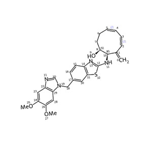 C=C1/C=C\C=C/CC[C@H](O)[C@@H]1Nc1nc2ccc(Cn3cnc4cc(OC)c(OC)cc43)cc2s1